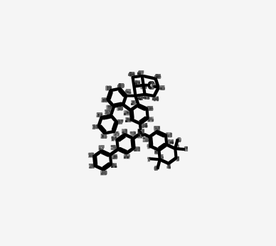 CC1(C)CCC(C)(C)c2cc(N(c3ccc(-c4ccccc4)cc3)c3ccc4c(c3)-c3c(-c5ccccc5)cccc3C43C4CC5CC6CC3C64C5)ccc21